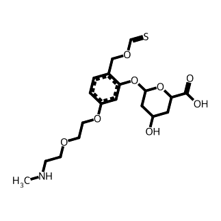 CNCCOCCOc1ccc(COC=S)c(OC2CC(O)CC(C(=O)O)O2)c1